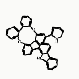 C1=CCNC(c2ccc3c(c2)Oc2ccccc2-c2ccccc2Oc2cccc(-c4cccc5c4[nH]c4ccccc45)c2-3)=C1